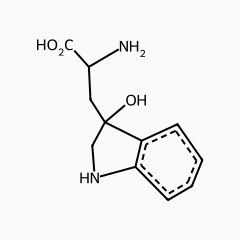 NC(CC1(O)CNc2ccccc21)C(=O)O